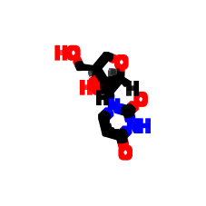 O=c1ccn([C@@H]2O[C@]3(CO)CO[C@H]2[C@H]3O)c(=O)[nH]1